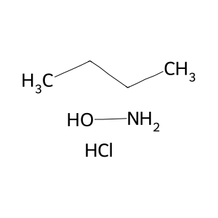 CCCC.Cl.NO